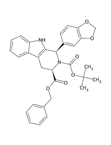 CC(C)(C)OC(=O)N1[C@H](c2ccc3c(c2)OCO3)c2[nH]c3ccccc3c2C[C@@H]1C(=O)OCc1ccccc1